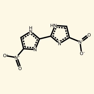 O=[N+]([O-])c1c[nH]c(-c2nc([N+](=O)[O-])c[nH]2)n1